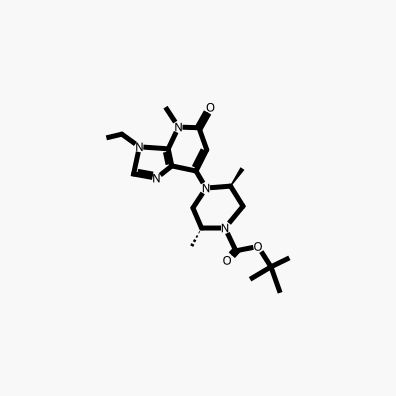 CCn1cnc2c(N3C[C@@H](C)N(C(=O)OC(C)(C)C)C[C@@H]3C)cc(=O)n(C)c21